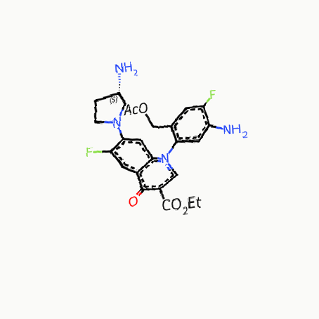 CCOC(=O)c1cn(-c2cc(N)c(F)cc2COC(C)=O)c2cc(N3CC[C@H](N)C3)c(F)cc2c1=O